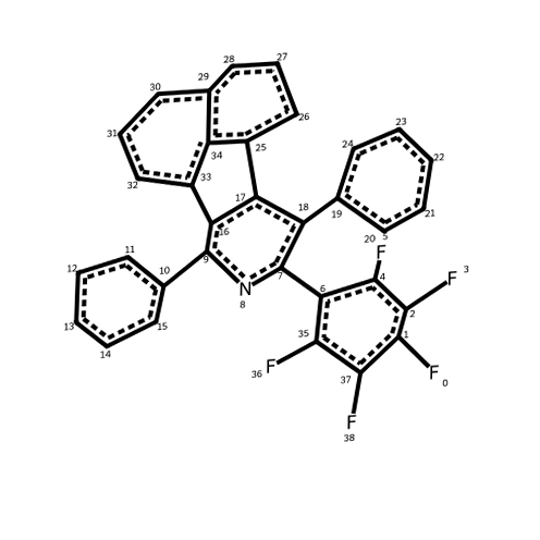 Fc1c(F)c(F)c(-c2nc(-c3ccccc3)c3c(c2-c2ccccc2)-c2cccc4cccc-3c24)c(F)c1F